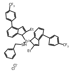 CCC1=Cc2c(-c3ccc(C(F)(F)F)cc3)cccc2[CH]1[Zr+2](=[SiH]Cc1ccccc1)[CH]1C(CC)=Cc2c(-c3ccc(C(F)(F)F)cc3)cccc21.[Cl-].[Cl-]